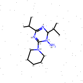 CC(C)C1=NC(C(C)C)N(N)C(N2CCCCC2)=N1